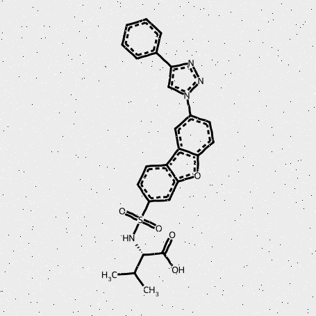 CC(C)[C@H](NS(=O)(=O)c1ccc2c(c1)oc1ccc(-n3cc(-c4ccccc4)nn3)cc12)C(=O)O